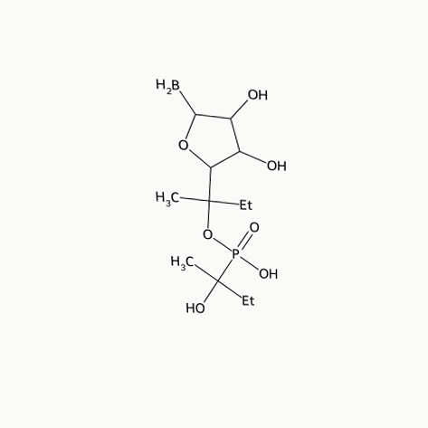 BC1OC(C(C)(CC)OP(=O)(O)C(C)(O)CC)C(O)C1O